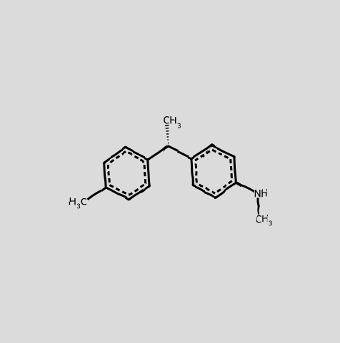 CNc1ccc([C@@H](C)c2ccc(C)cc2)cc1